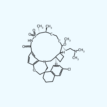 CO[C@]1(CCN(C)C)CCC[C@H](C)[C@@H](C)S(=O)(=O)NC(=O)c2ccc3c(c2)N(C[C@@H]2CC[C@H]21)C[C@@]1(CCCc2cc(Cl)ccc21)CO3